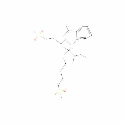 CCC(C)C(C)(NCCCCS(=O)(=O)O)[N@@+](C)(CCCCS(=O)(=O)O)c1ccccc1C(C)C